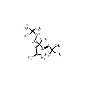 CC(C)CC(C)(N=NC(C)(C)C)OOC(C)(C)C